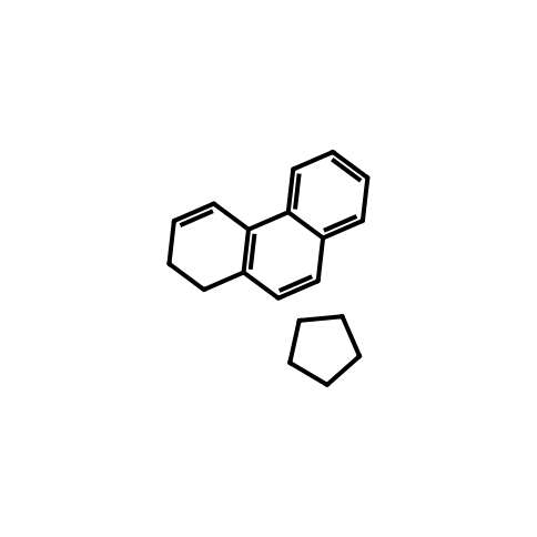 C1=Cc2c(ccc3ccccc23)CC1.C1CCCC1